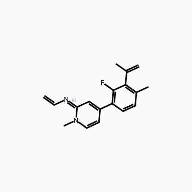 C=C/N=c1/cc(-c2ccc(C)c(C(=C)C)c2F)ccn1C